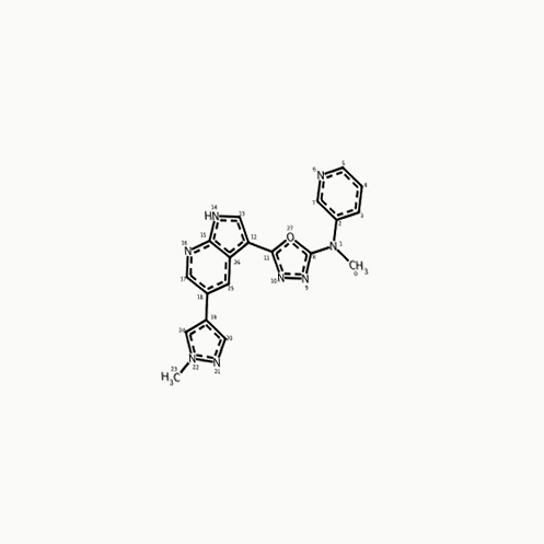 CN(c1cccnc1)c1nnc(-c2c[nH]c3ncc(-c4cnn(C)c4)cc23)o1